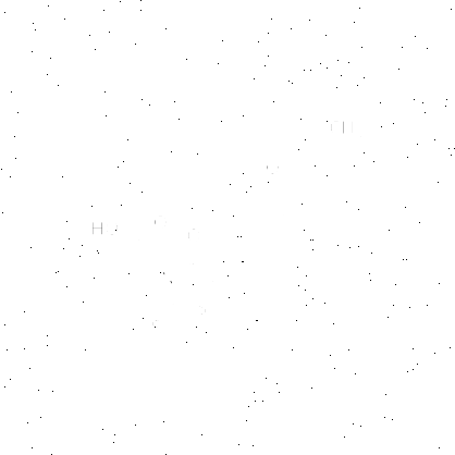 CCCOc1ccc(C=C2SC(=S)N(CC(=O)O)C2=O)cc1